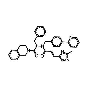 Cc1nc(C=CC(=O)N(Cc2ccc(-c3ccccn3)cc2)C(Cc2ccccc2)C(=O)N2CCc3ccccc3C2)cs1